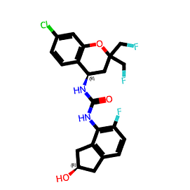 O=C(Nc1c(F)ccc2c1C[C@H](O)C2)N[C@@H]1CC(CF)(CF)Oc2cc(Cl)ccc21